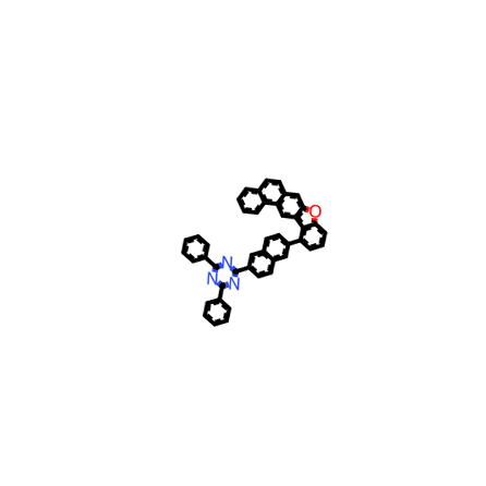 c1ccc(-c2nc(-c3ccccc3)nc(-c3ccc4cc(-c5cccc6oc7cc8ccc9ccccc9c8cc7c56)ccc4c3)n2)cc1